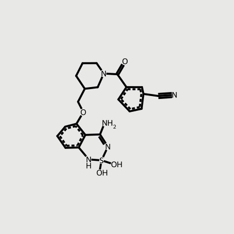 N#Cc1cccc(C(=O)N2CCCC(COc3cccc4c3C(N)=NS(O)(O)N4)C2)c1